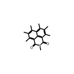 Cc1c(C)c2c3c(c(C)c(C)c(C)c3c1C)C(=O)N(C)C2=O